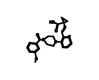 COc1cccc(C(=O)N2CCN(c3cccnc3C=NC3(C(=O)O)CC3)CC2)c1